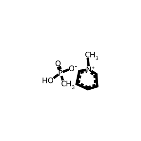 CP(=O)([O-])O.C[n+]1ccccc1